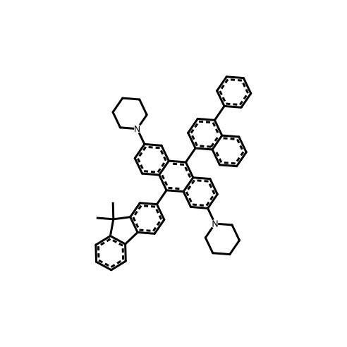 CC1(C)c2ccccc2-c2ccc(-c3c4cc(N5CCCCC5)ccc4c(-c4ccc(-c5ccccc5)c5ccccc45)c4cc(N5CCCCC5)ccc34)cc21